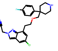 N#CCn1cc2cc(Cl)cc(CCOCC3(c4ccc(F)cc4)CCNCC3)c2n1